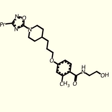 Cc1cc(OCCCC2CCN(c3nc(C(C)C)no3)CC2)ccc1C(=O)NCCO